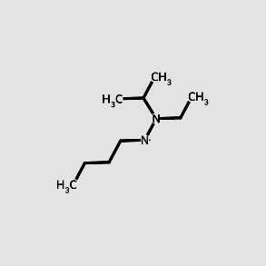 CCCC[N]N(CC)C(C)C